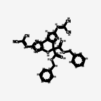 N#CC(C#N)=Nc1nc2c(s1)-c1sc(N=C(C#N)C#N)nc1C(C(=O)OCc1ccccc1)(C(=O)OCc1ccccc1)O2